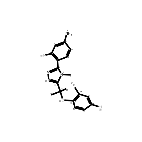 Cn1c(-c2ccc(N)cc2F)nnc1C(C)(C)Oc1ccc(Cl)cc1F